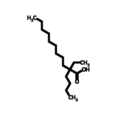 CCCCCCCCCC(CC)(CCCC)C(=O)O